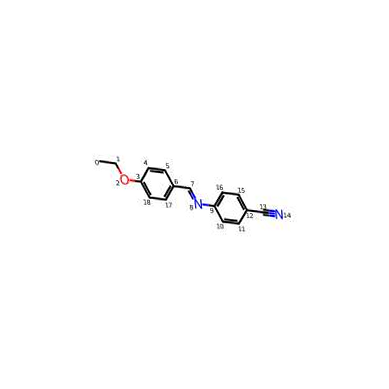 CCOc1ccc(C=Nc2ccc(C#N)cc2)cc1